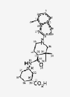 Cc1cccc2ccc(N3CC[C@H](C(=O)N[C@@H]4CCC[C@@H](C(=O)O)C4)C(C)(C)C3)nc12